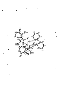 O=C1Nc2cc(Cl)c(F)cc2C12[C@@H](c1ccnc(Cl)c1F)CN([C@H](c1ccccc1)[C@@H](O)c1ccccc1)C21CC(CF)(CF)C1